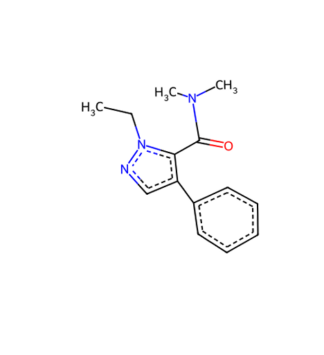 CCn1ncc(-c2ccccc2)c1C(=O)N(C)C